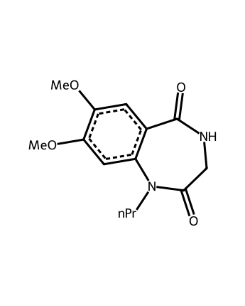 CCCN1C(=O)CNC(=O)c2cc(OC)c(OC)cc21